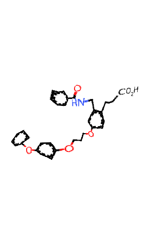 O=C(O)CCc1ccc(OCCCOc2ccc(Oc3ccccc3)cc2)cc1CNC(=O)c1ccccc1